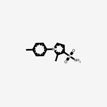 Cc1ccc(-n2ccc(S(N)(=O)=O)c2C)cc1